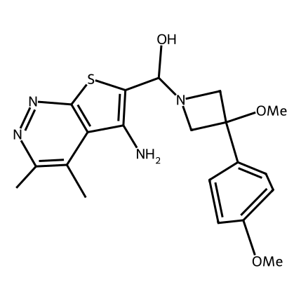 COc1ccc(C2(OC)CN(C(O)c3sc4nnc(C)c(C)c4c3N)C2)cc1